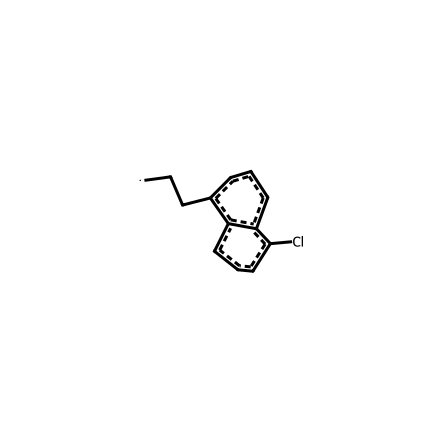 [CH2]CCc1cccc2c(Cl)cccc12